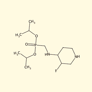 CC(C)OP(=O)(CNC1CCNCC1F)OC(C)C